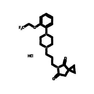 Cl.O=C1CC2(CC2)C(=O)N1CCCN1CCN(c2ccccc2OCC(F)(F)F)CC1